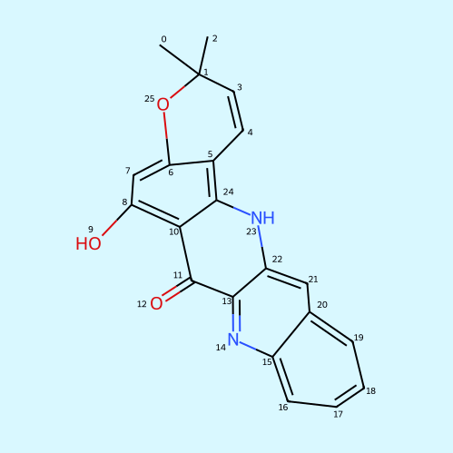 CC1(C)C=Cc2c(cc(O)c3c(=O)c4nc5ccccc5cc4[nH]c23)O1